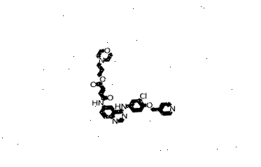 O=C(C=CC(=O)OCCCN1CCOCC1)Nc1ccc2ncnc(Nc3ccc(OCc4ccncc4)c(Cl)c3)c2c1